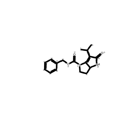 CC(C)C1=C2C(CCN2C(=O)OCc2ccccc2)NC1=O